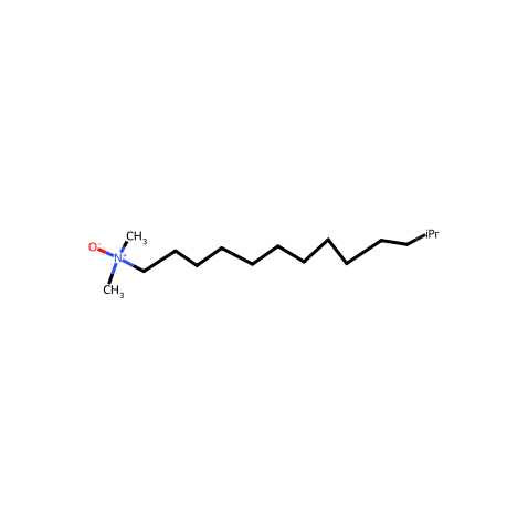 CC(C)CCCCCCCCCCC[N+](C)(C)[O-]